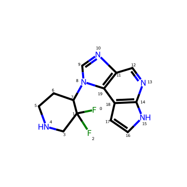 FC1(F)CNCCC1n1cnc2cnc3[nH]ccc3c21